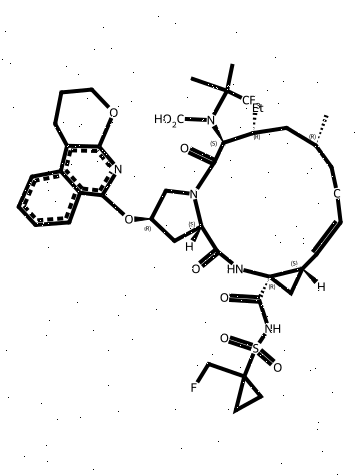 CC[C@@H]1C[C@H](C)CCC=C[C@@H]2C[C@@]2(C(=O)NS(=O)(=O)C2(CF)CC2)NC(=O)[C@@H]2C[C@@H](Oc3nc4c(c5ccccc35)CCCO4)CN2C(=O)[C@H]1N(C(=O)O)C(C)(C)C(F)(F)F